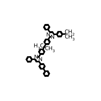 C=C(C)c1ccc(-c2cc(-c3ccccc3)nc(-c3ccc(C(C)(C)c4ccc(-c5nc(-c6ccccc6)cc(-c6ccc(-c7ccccc7)cc6)n5)cc4)cc3)n2)cc1